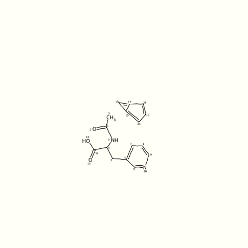 CC(=O)NC(Cc1cccnc1)C(=O)O.c1cc2cc-2c1